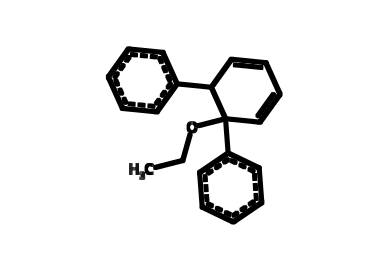 CCOC1(c2ccccc2)C=CC=CC1c1ccccc1